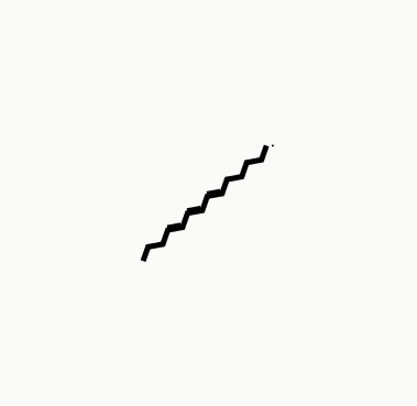 [CH2]CCCCC=CC=CC=CCCC